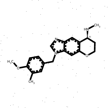 CN[C@H]1CCOc2cc3c(cc21)ncn3Cc1ccc(OC)c(C)c1